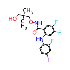 CC(C)(CO)CONC(=O)c1cc(F)c(F)cc1Nc1ccc(I)cc1F